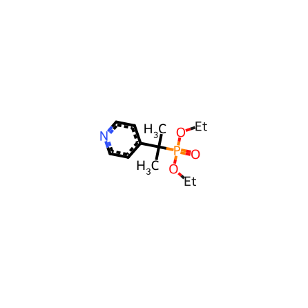 CCOP(=O)(OCC)C(C)(C)c1ccncc1